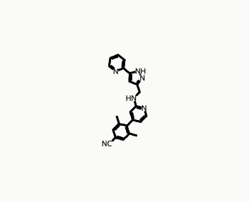 Cc1cc(C#N)cc(C)c1-c1ccnc(NCc2cc(-c3ccccn3)[nH]n2)c1